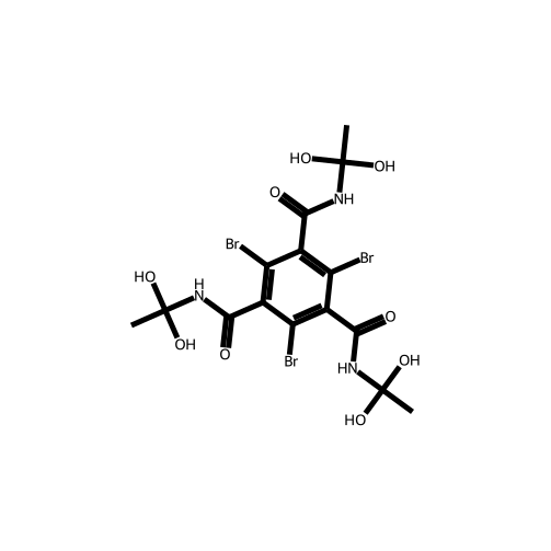 CC(O)(O)NC(=O)c1c(Br)c(C(=O)NC(C)(O)O)c(Br)c(C(=O)NC(C)(O)O)c1Br